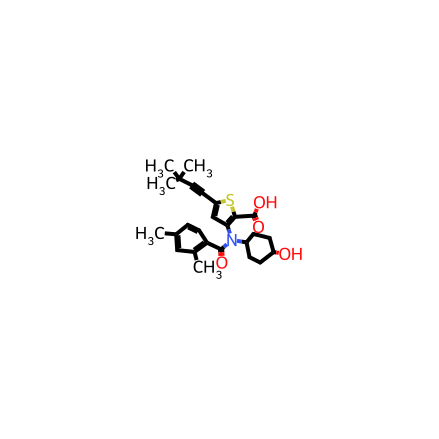 Cc1ccc(C(=O)N(c2cc(C#CC(C)(C)C)sc2C(=O)O)C2CCC(O)CC2)c(C)c1